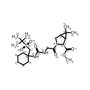 COC(=O)[C@@H]1C2C(CN1C(=O)CNC(=O)NC1(CS(=O)(=O)C(C)(C)C)CCCCC1)C2(C)C